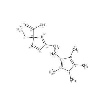 CC1=C(C)C(C)C(C)=C1C.CCC1(C(=O)O)N=CC(C)=N1